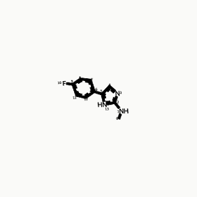 CNc1ncc(-c2ccc(F)cc2)[nH]1